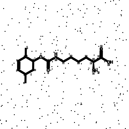 CC1C=CC(C)C(OC(=O)NCCCC[C@H](N)C(=O)O)C1